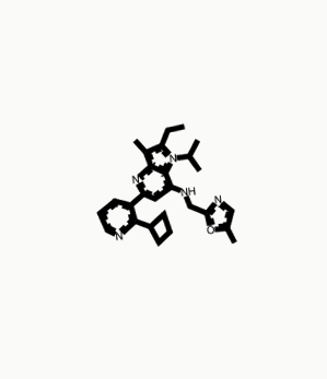 CCc1c(C)c2nc(-c3cccnc3C3CCC3)cc(NCc3ncc(C)o3)c2n1C(C)C